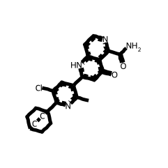 Cc1nc(C23CCC(CC2)CC3)c(Cl)cc1-c1cc(=O)c2c(C(N)=O)nccc2[nH]1